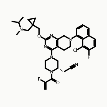 C=C(F)C(=O)N1CCN(c2nc(OCC3(CN(C)C(C)C)CC3)nc3c2CCN(c2cccc4ccc(F)c(Cl)c24)C3)C[C@@H]1CC#N